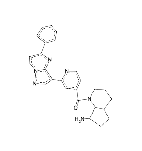 NC1CCC2CCCN(C(=O)c3ccnc(-c4cnn5ccc(-c6ccccc6)nc45)c3)C12